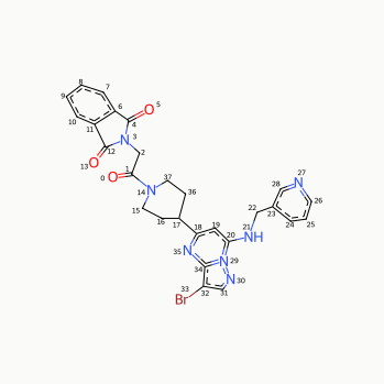 O=C(CN1C(=O)c2ccccc2C1=O)N1CCC(c2cc(NCc3cccnc3)n3ncc(Br)c3n2)CC1